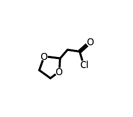 O=C(Cl)CC1OCCO1